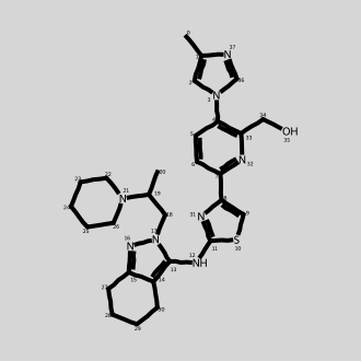 Cc1cn(-c2ccc(-c3csc(Nc4c5c(nn4CC(C)N4CCCCC4)CCCC5)n3)nc2CO)cn1